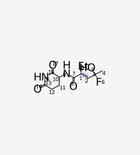 CC/C(=C\C(C)(O)F)C(=O)NC1CCC(=O)NC1=O